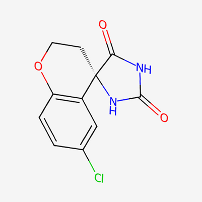 O=C1NC(=O)[C@@]2(CCOc3ccc(Cl)cc32)N1